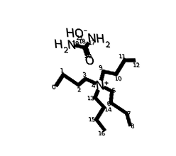 CCCC[N+](CCCC)(CCCC)CCCC.NC(N)=O.[OH-]